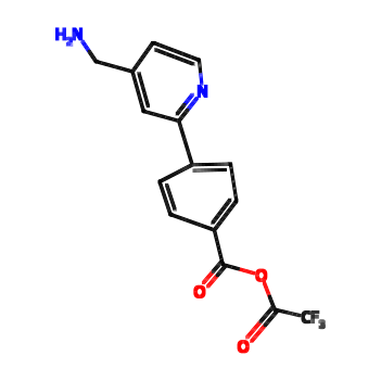 NCc1ccnc(-c2ccc(C(=O)OC(=O)C(F)(F)F)cc2)c1